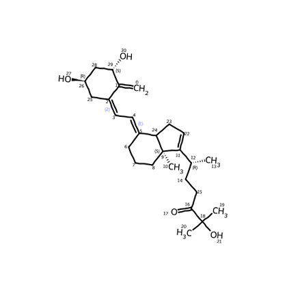 C=C1/C(=C\C=C2/CCC[C@]3(C)C([C@H](C)CCC(=O)C(C)(C)O)=CCC23)C[C@@H](O)C[C@@H]1O